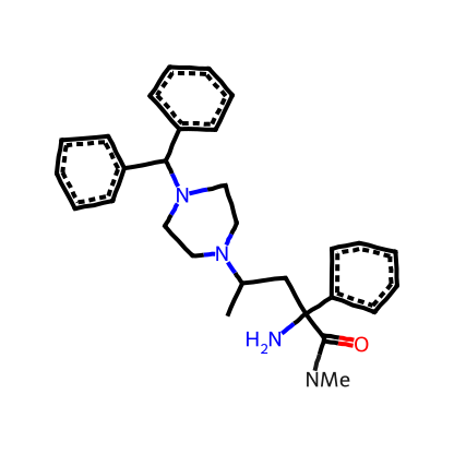 CNC(=O)C(N)(CC(C)N1CCN(C(c2ccccc2)c2ccccc2)CC1)c1ccccc1